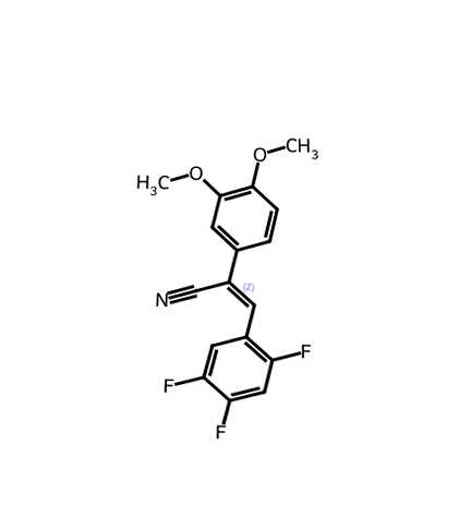 COc1ccc(/C(C#N)=C/c2cc(F)c(F)cc2F)cc1OC